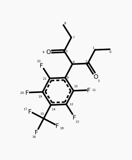 CCC(=O)C(C(=O)CC)c1c(F)c(F)c(C(F)(F)F)c(F)c1F